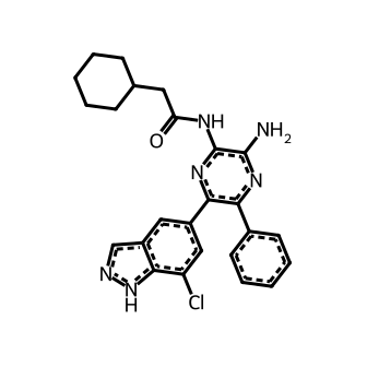 Nc1nc(-c2ccccc2)c(-c2cc(Cl)c3[nH]ncc3c2)nc1NC(=O)CC1CCCCC1